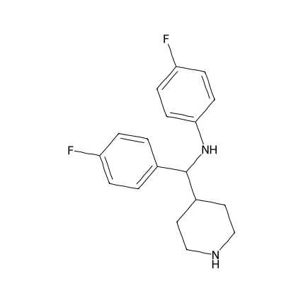 Fc1ccc(NC(c2ccc(F)cc2)C2CCNCC2)cc1